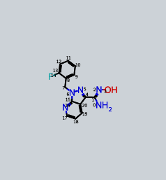 N/C(=N\O)c1nn(Cc2ccccc2F)c2ncccc12